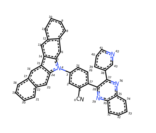 N#Cc1cc(-n2c3cc4ccccc4cc3c3cc4ccccc4cc32)ccc1-c1nc2ccccc2nc1-c1cccnc1